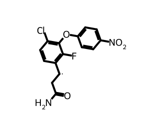 NC(=O)C[CH]c1ccc(Cl)c(Oc2ccc([N+](=O)[O-])cc2)c1F